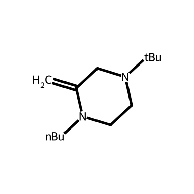 C=C1CN(C(C)(C)C)CCN1CCCC